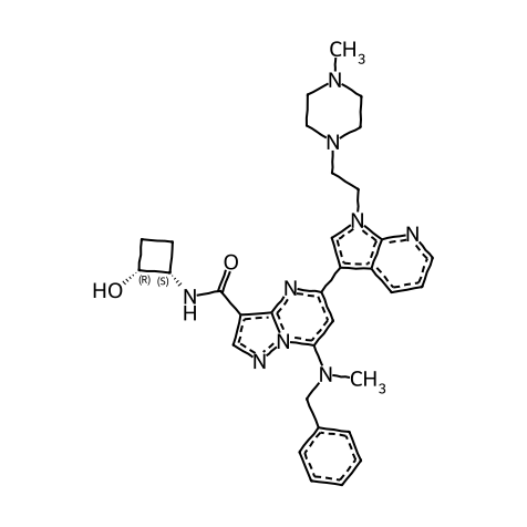 CN1CCN(CCn2cc(-c3cc(N(C)Cc4ccccc4)n4ncc(C(=O)N[C@H]5CC[C@H]5O)c4n3)c3cccnc32)CC1